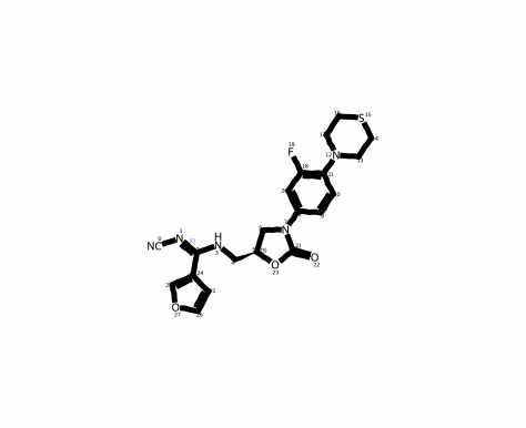 N#C/N=C(/NC[C@H]1CN(c2ccc(N3CCSCC3)c(F)c2)C(=O)O1)c1ccoc1